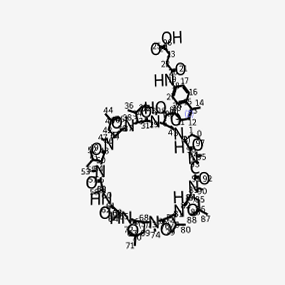 CC[C@@H]1NC(=O)C([C@H](O)[C@H](C)C/C=C(/C)c2ccc(NC(=O)CCC(=O)O)cc2)N(C)C(=O)C(C(C)C)N(C)C(=O)[C@H](CC(C)C)N(C)C(=O)C(C(C)C)N(C)C(=O)[C@H](C)NC(=O)[C@H](C)NC(=O)[C@H](CC(C)C)N(C)C(=O)[C@H](C(C)C)NC(=O)[C@H](CC(C)C)N(C)C(=O)CN(C)C1=O